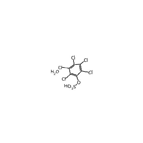 O.O=S(=O)(O)Oc1c(Cl)c(Cl)c(Cl)c(Cl)c1Cl